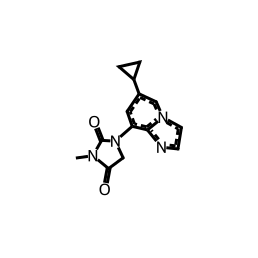 CN1C(=O)CN(c2cc(C3CC3)cn3ccnc23)C1=O